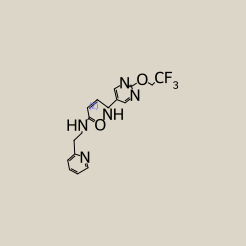 N=C(/C=C\C(=O)NCCc1ccccn1)c1cnc(OCC(F)(F)F)nc1